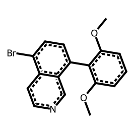 COc1cccc(OC)c1-c1ccc(Br)c2ccncc12